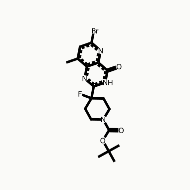 Cc1cc(Br)nc2c(=O)[nH]c(C3(F)CCN(C(=O)OC(C)(C)C)CC3)nc12